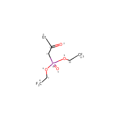 CCC(=O)CP(=O)(OCC(F)(F)F)OCC(F)(F)F